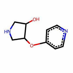 OC1CNCC1Oc1ccncc1